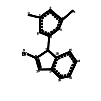 Cc1cc(C)cc(C2C(Br)=Cc3ccccc32)c1